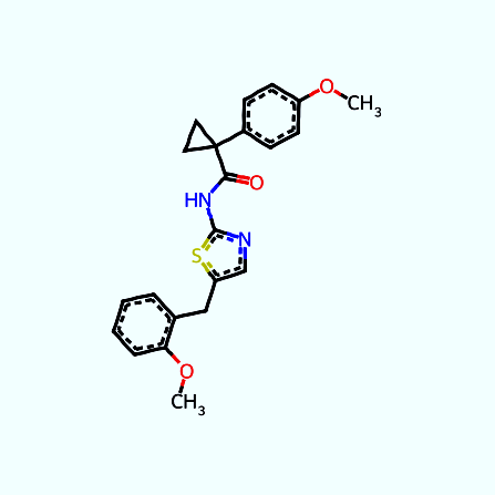 COc1ccc(C2(C(=O)Nc3ncc(Cc4ccccc4OC)s3)CC2)cc1